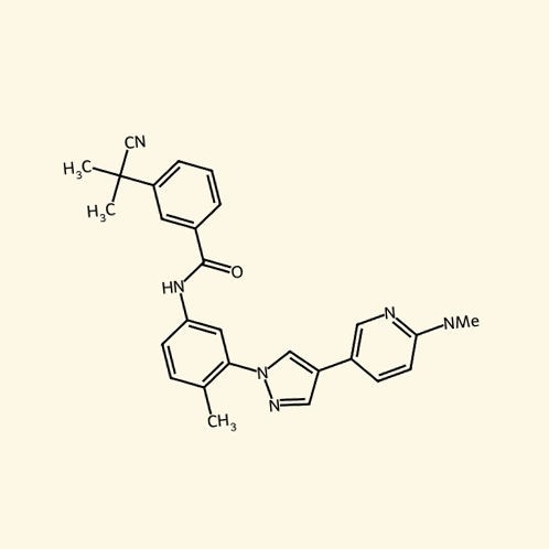 CNc1ccc(-c2cnn(-c3cc(NC(=O)c4cccc(C(C)(C)C#N)c4)ccc3C)c2)cn1